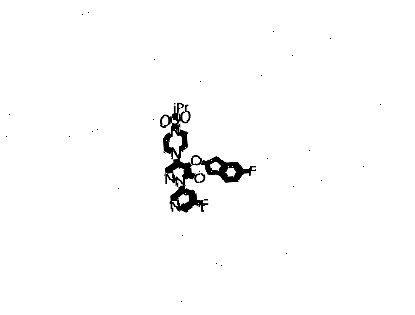 CC(C)S(=O)(=O)N1CCN(c2cnn(-c3cncc(F)c3)c(=O)c2OC2Cc3ccc(F)cc3C2)CC1